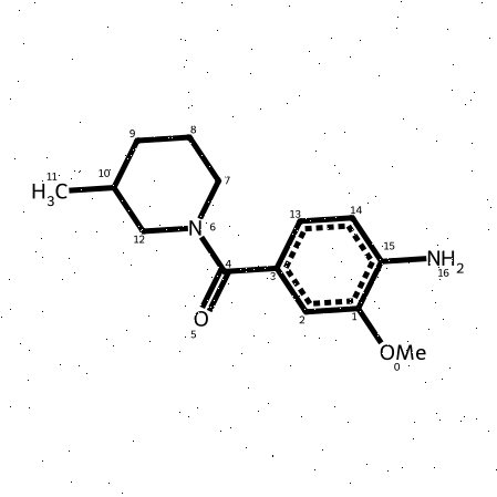 COc1cc(C(=O)N2CCCC(C)C2)ccc1N